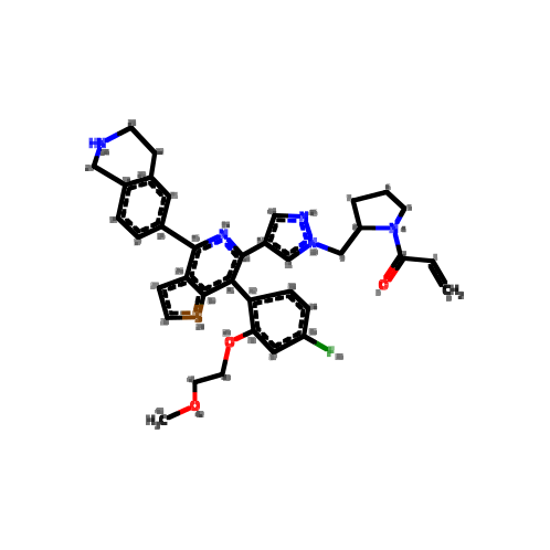 C=CC(=O)N1CCCC1Cn1cc(-c2nc(-c3ccc4c(c3)CCNC4)c3ccsc3c2-c2ccc(F)cc2OCCOC)cn1